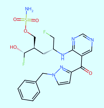 NS(=O)(=O)OC[C@@H](C[C@H](CF)Nc1ncncc1C(=O)c1ccn(Cc2ccccc2)n1)[C@@H](O)F